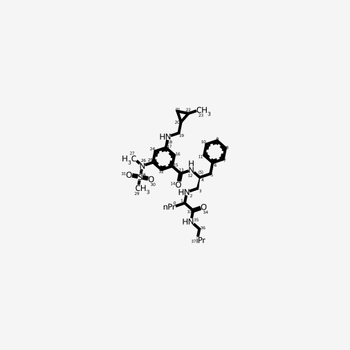 CCCC(NC[C@H](Cc1ccccc1)NC(=O)c1cc(NCC2CC2C)cc(N(C)S(C)(=O)=O)c1)C(=O)NCC(C)C